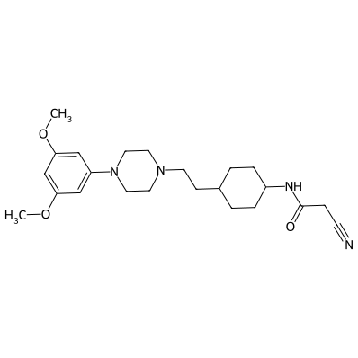 COc1cc(OC)cc(N2CCN(CCC3CCC(NC(=O)CC#N)CC3)CC2)c1